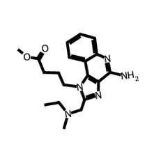 CCN(C)Cc1nc2c(N)nc3ccccc3c2n1CCCC(=O)OC